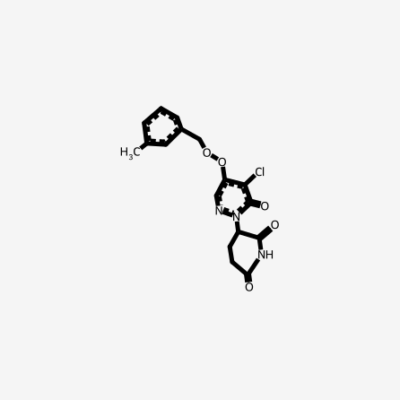 Cc1cccc(COOc2cnn(C3CCC(=O)NC3=O)c(=O)c2Cl)c1